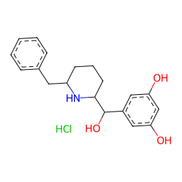 Cl.Oc1cc(O)cc(C(O)C2CCCC(Cc3ccccc3)N2)c1